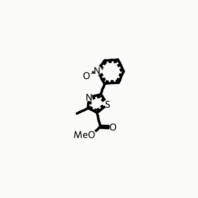 COC(=O)c1sc(-c2cccc[n+]2[O-])nc1C